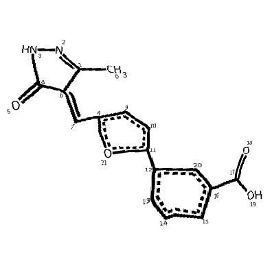 CC1=NNC(=O)C1=Cc1ccc(-c2cccc(C(=O)O)c2)o1